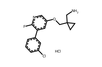 Cl.NCC1(COc2cnc(F)c(-c3cccc(Cl)c3)c2)CC1